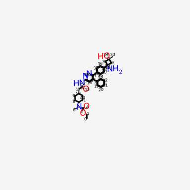 CCOC(=O)N(C)[C@H]1CC[C@H](CC(=O)Nc2cc(-c3ccccc3)c(-c3ccc([C@]4(N)C[C@](C)(O)C4)cc3)nn2)CC1